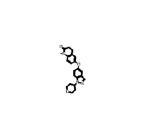 O=C1CCc2cc(Oc3ccc4c(cnn4C4CCOCC4)c3)ccc2N1